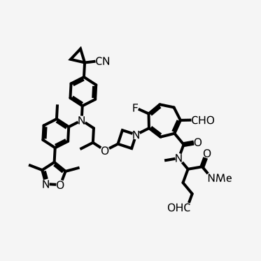 CNC(=O)C(CCC=O)N(C)C(=O)C1=C(C=O)CC=C(F)C(N2CC(OC(C)CN(c3ccc(C4(C#N)CC4)cc3)c3cc(-c4c(C)noc4C)ccc3C)C2)=C1